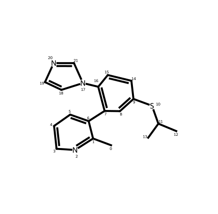 Cc1ncccc1-c1cc(SC(C)C)ccc1-n1ccnc1